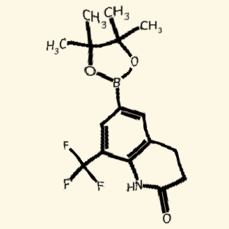 CC1(C)OB(c2cc3c(c(C(F)(F)F)c2)NC(=O)CC3)OC1(C)C